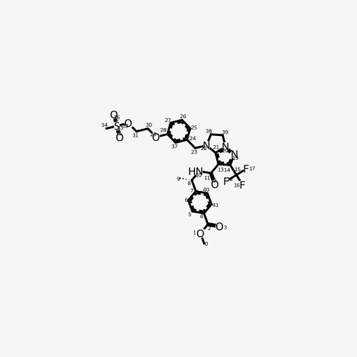 COC(=O)c1ccc([C@H](C)NC(=O)c2c(C(F)(F)F)nn3c2N(Cc2cccc(OCCOS(C)(=O)=O)c2)CC3)cc1